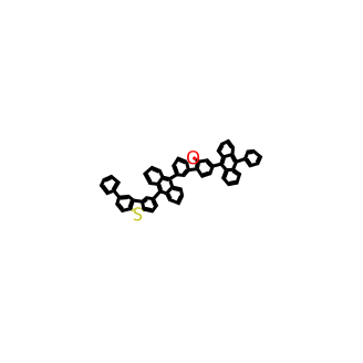 c1ccc(-c2ccc3sc4ccc(-c5c6ccccc6c(-c6ccc7oc8cc(-c9c%10ccccc%10c(-c%10ccccc%10)c%10ccccc9%10)ccc8c7c6)c6ccccc56)cc4c3c2)cc1